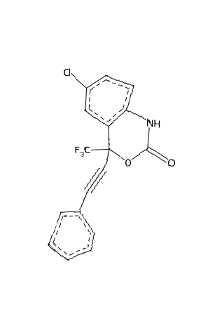 O=C1Nc2ccc(Cl)cc2C(C#Cc2ccccc2)(C(F)(F)F)O1